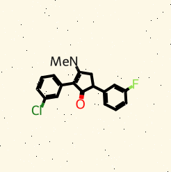 CNC1=C(c2cccc(Cl)c2)C(=O)C(c2cccc(F)c2)C1